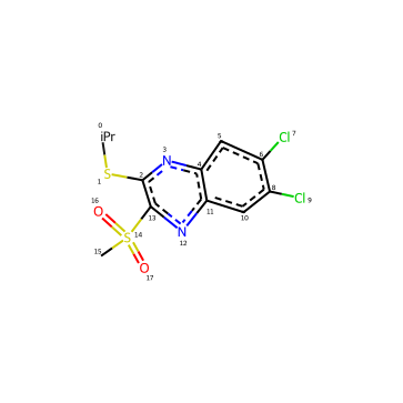 CC(C)Sc1nc2cc(Cl)c(Cl)cc2nc1S(C)(=O)=O